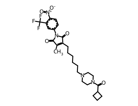 CC1=C(CCCCCCN2CCN(C(=O)C3CCC3)CC2)C(=O)N(c2ccc([N+](=O)[O-])c(C(F)(F)F)c2)C1=O